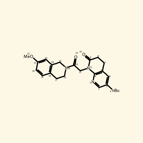 CCCCc1cnc2c(c1)CCC(=O)N2CC(=O)N1CCc2ccc(OC)cc2C1